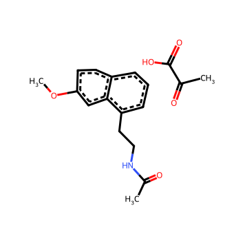 CC(=O)C(=O)O.COc1ccc2cccc(CCNC(C)=O)c2c1